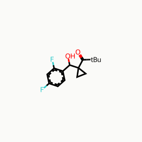 CC(C)(C)C(=O)C1(C(O)c2ccc(F)cc2F)CC1